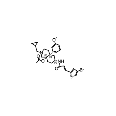 COc1cccc([C@@]23CCN(CC4CC4)C[C@@]2(OC(C)=O)CC[C@@H](NC(=O)C=Cc2cc(Br)cs2)C3)c1